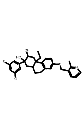 CCC12CC(O)C(O)(c3cc(F)cc(Cl)c3)CC1CCc1cc(OCc3cccnc3C)ccc12